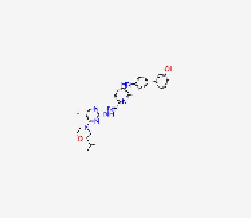 Cc1nc(/C=N/Nc2ncc(F)c(N3CCOC(C(C)C)C3)n2)ccc1Nc1ccc(-c2cccc(O)c2)cc1